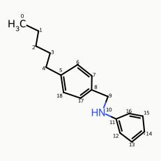 CCCCCc1ccc(CNc2cc[c]cc2)cc1